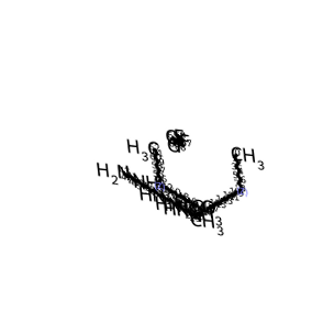 CCCCCCCC/C=C\CCCCCCCCOCC(C[N+](C)(C)CCNC(=O)NCCCNCCCCNCCCN)OCCCCCCCC/C=C\CCCCCCCC.O=C([O-])C(F)(F)F